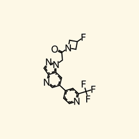 O=C(Cn1ncc2ncc(-c3ccnc(C(F)(F)F)c3)cc21)N1CC(F)C1